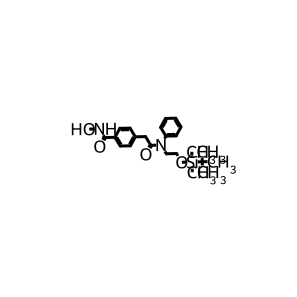 CC(C)(C)[Si](C)(C)OCCN(C(=O)Cc1ccc(C(=O)NO)cc1)c1ccccc1